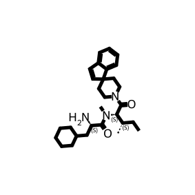 CC[C@H](C)[C@@H](C(=O)N1CCC2(C=Cc3ccccc32)CC1)N(C)C(=O)[C@@H](N)CC1CCCCC1